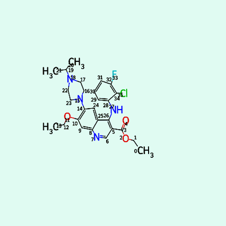 CCOC(=O)c1cnc2cc(OCC)c(N3CCN(C(C)C)CC3)cc2c1Nc1cccc(F)c1Cl